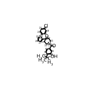 CC(C)(C)c1ccc(C(=O)N2CCC3(CC2)Oc2cc(Cl)ccc2-n2cccc23)cc1O